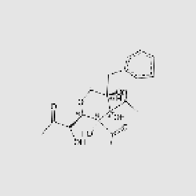 CC(=O)C(O)[C@H]1O[CH][C@](O)(Cc2ccccc2)[C@](O)(C(C)=O)[C@@]1(O)C(C)=O